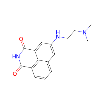 CN(C)CCNc1cc2c3c(cccc3c1)C(=O)NC2=O